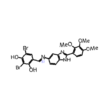 COc1ccc(-c2nc3cc(/N=C/c4cc(Br)c(O)c(Br)c4O)ccc3[nH]2)c(OC)c1OC